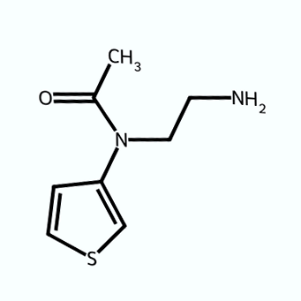 CC(=O)N(CCN)c1ccsc1